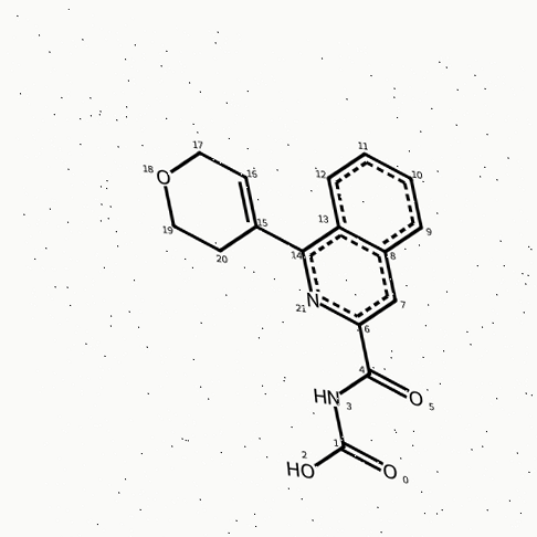 O=C(O)NC(=O)c1cc2ccccc2c(C2=CCOCC2)n1